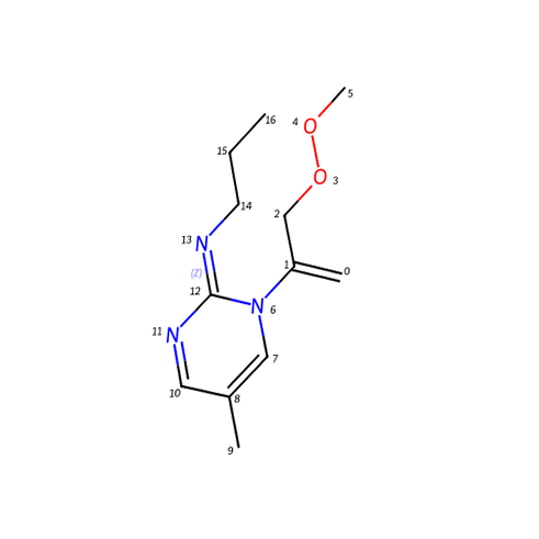 C=C(COOC)n1cc(C)cn/c1=N/CCC